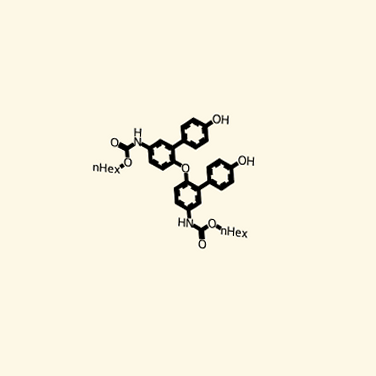 CCCCCCOC(=O)Nc1ccc(Oc2ccc(NC(=O)OCCCCCC)cc2-c2ccc(O)cc2)c(-c2ccc(O)cc2)c1